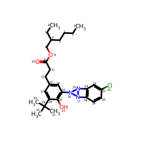 CCCCC(CC)COC(=O)CCc1cc(-n2n3c4ccc(Cl)cc4n23)c(O)c(C(C)(C)C)c1